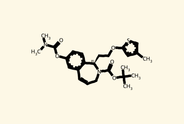 Cc1csc(OCC[C@@H]2c3ccc(OC(=O)N(C)C)cc3C=CCN2C(=O)OC(C)(C)C)c1